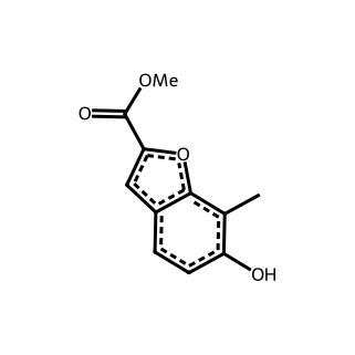 COC(=O)c1cc2ccc(O)c(C)c2o1